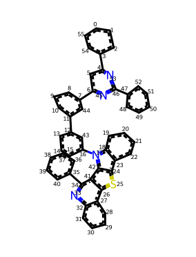 c1ccc(-c2cc(-c3cccc(-c4cccc(-n5c6ccccc6c6sc7c8ccccc8nc(-c8ccccc8)c7c65)c4)c3)nc(-c3ccccc3)n2)cc1